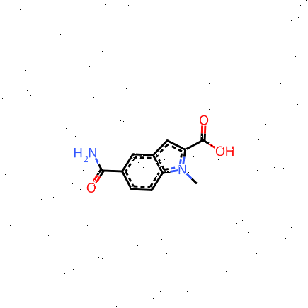 Cn1c(C(=O)O)cc2cc(C(N)=O)ccc21